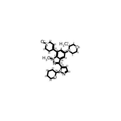 C[C@@H]1COCCN1c1cc(C2=CC[S+]([O-])CC2)c2c(c1)c(-c1ccnn1C1CCCCO1)nn2C